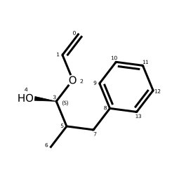 C=CO[C@H](O)C(C)Cc1ccccc1